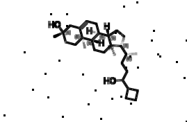 C[C@H](CCC(O)C1CCC1)[C@H]1CC[C@H]2[C@@H]3CC=C4C[C@@](C)(O)CC[C@]4(C)[C@H]3CC[C@]12C